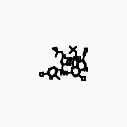 Cc1nc(Cl)ccc1[C@H](Nc1cc(Cl)c2ncc(C#N)c(NCC(C)(C)C)c2c1)C1=CN(CC2(C)CC2)NN1